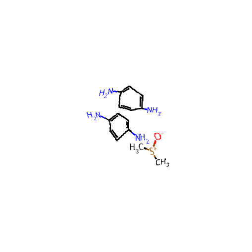 C[S+](C)[O-].Nc1ccc(N)cc1.Nc1ccc(N)cc1